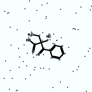 CCC(F)(C(=O)O)C(=O)c1ccccc1.Cl